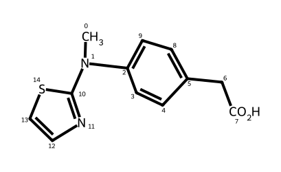 CN(c1ccc(CC(=O)O)cc1)c1nccs1